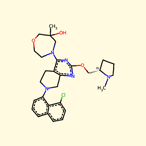 CN1CCC[C@H]1COc1nc2c(c(N3CCOCC(C)(O)C3)n1)CCN(c1cccc3cccc(Cl)c13)C2